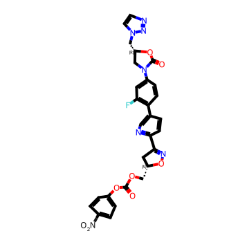 O=C(OC[C@@H]1CC(c2ccc(-c3ccc(N4C[C@H](Cn5ccnn5)OC4=O)cc3F)cn2)=NO1)Oc1ccc([N+](=O)[O-])cc1